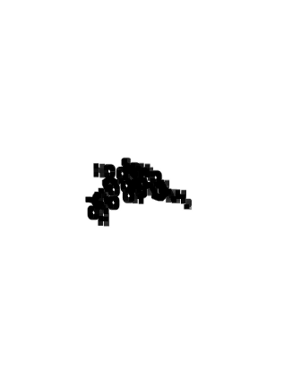 Cc1cn([C@H]2C[C@H](O)[C@@H](C(O)OP(O)(=S)O[C@]3(O)C[C@H](n4ccc(N)nc4=O)O[C@@H]3CO)O2)c(=O)[nH]c1=O